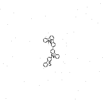 c1ccc2c(c1)sc1cc(-n3c4ccccc4c4cc(-c5ccc6c7cccc8c9ccccc9n(c6c5)c87)ccc43)ccc12